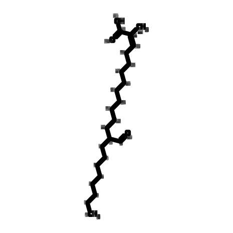 CCCCCCCCC(C=O)CCCCCCCCCC=C(C)C(=O)O